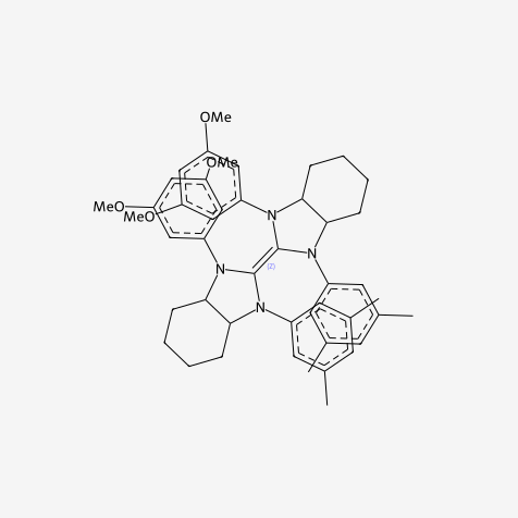 COc1cc(OC)cc(N2/C(=C3/N(c4cc(C)cc(C)c4)C4CCCCC4N3c3cc(OC)cc(OC)c3)N(c3cc(C)cc(C)c3)C3CCCCC32)c1